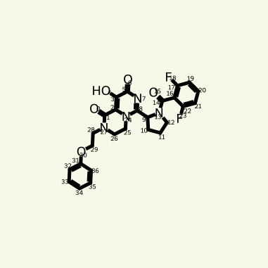 O=C1c2c(O)c(=O)nc(C3CCCN3C(=O)c3c(F)cccc3F)n2CCN1CCOc1ccccc1